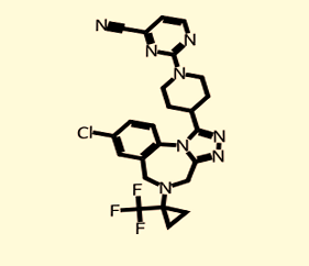 N#Cc1ccnc(N2CCC(c3nnc4n3-c3ccc(Cl)cc3CN(C3(C(F)(F)F)CC3)C4)CC2)n1